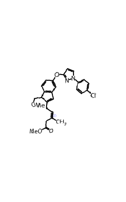 COCC1C(C/C=C(/C)CC(=O)OC)=Cc2cc(Oc3ccn(-c4ccc(Cl)cc4)n3)ccc21